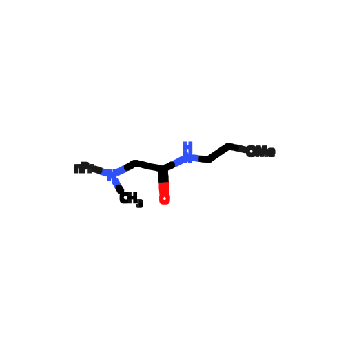 CCCN(C)CC(=O)NCCOC